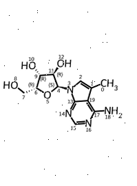 Cc1cn([C@H]2O[C@H](CO)[C@H](O)[C@H]2O)c2ncnc(N)c12